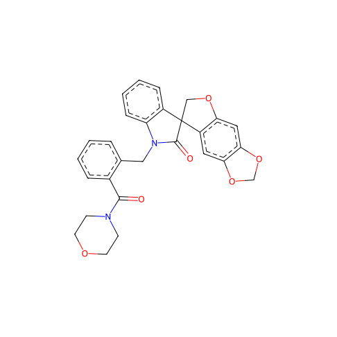 O=C(c1ccccc1CN1C(=O)C2(COc3cc4c(cc32)OCO4)c2ccccc21)N1CCOCC1